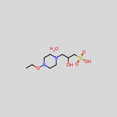 CCON1CCN(CC(O)CS(=O)(=O)O)CC1.O